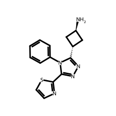 N[C@H]1C[C@H](c2nnc(-c3nccs3)n2-c2ccccc2)C1